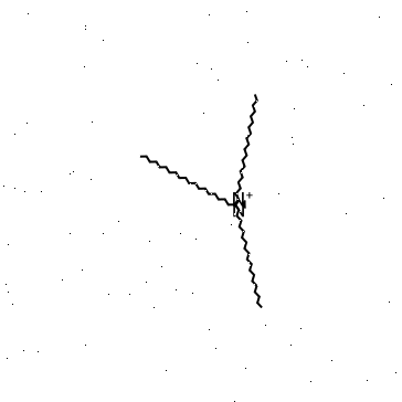 CCCCCCCCCCCCCCCCCCCc1n(CCCCCCCCCCCCCCCCCC)cc[n+]1CCCCCCCCCCCCCCCCCCC